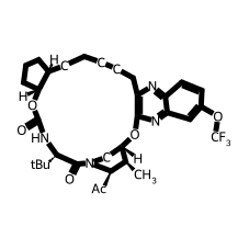 CC(=O)[C@@H]1[C@H](C)[C@@H]2CN1C(=O)[C@H](C(C)(C)C)NC(=O)O[C@@H]1CCC[C@H]1CCCCCc1nc3ccc(OC(F)(F)F)cc3nc1O2